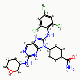 NC(=O)C1CCC(n2c(Nc3c(Cl)cc(F)cc3Cl)nc3cnc(NC4CCCOC4)nc32)CC1